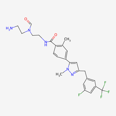 Cc1cc(-c2cc(Cc3cc(F)cc(C(F)(F)F)c3)nn2C)ccc1C(=O)NCCN(C=O)CCN